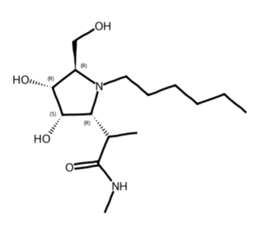 CCCCCCN1[C@H](CO)[C@@H](O)[C@@H](O)[C@H]1C(C)C(=O)NC